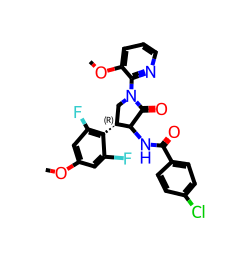 COc1cc(F)c([C@@H]2CN(c3ncccc3OC)C(=O)C2NC(=O)c2ccc(Cl)cc2)c(F)c1